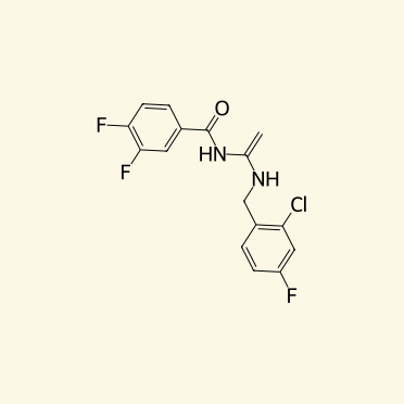 C=C(NCc1ccc(F)cc1Cl)NC(=O)c1ccc(F)c(F)c1